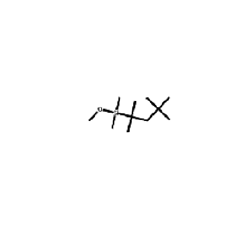 CO[Si](C)(C)C(C)(C)CC(C)(C)C